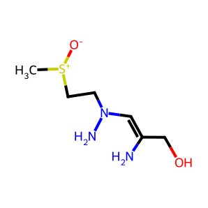 C[S+]([O-])CCN(N)/C=C(\N)CO